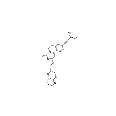 CC(C)C(O)C#Cc1ccc2c(c1)CCN1C2=CC(OCC2COc3ncccc3O2)=NC1O